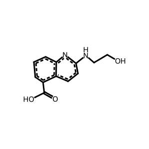 O=C(O)c1cccc2nc(NCCO)ccc12